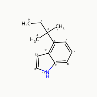 CCC(C)(C)c1cccc2[nH]ccc12